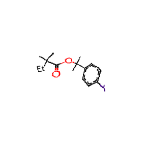 CCC(C)(C)C(=O)OC(C)(C)c1ccc(I)cc1